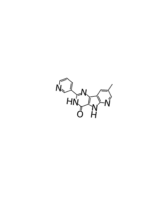 Cc1cnc2[nH]c3c(=O)[nH]c(-c4cccnc4)nc3c2c1